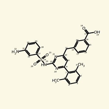 Cc1cccc(C)c1-c1cc(Cc2cccc(C(=O)O)c2)nc(NS(=O)(=O)c2cccc(N)c2)n1